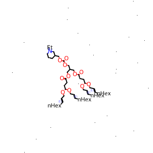 CCCCCC/C=C/COC(CCC(=O)OCC(COC(=O)CCC(OC/C=C/CCCCCC)OC/C=C/CCCCCC)COC(=O)OCC1CCCN(CC)C1)OC/C=C/CCCCCC